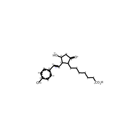 O=C(O)CCCCCCC1C(=O)CC(O)C1/C=C/c1ccc(Cl)cc1